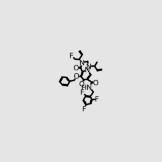 C=CC(CF)N1CN(C(C)C=C)n2cc(C(=O)NCc3c(F)cc(F)cc3F)c(=O)c(OCc3ccccc3)c2C1=O